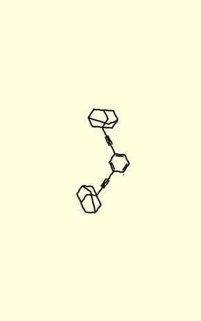 C(#CC12CC3CC(CC(C3)C1)C2)c1[c]ccc(C#CC23CC4CC(CC(C4)C2)C3)c1